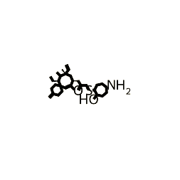 C=C[C@]1(C)C[C@@H](CC(=O)CSC2CCC(N)CCC2O)/C(C)=C\C2(CCC(=C)CC2)[C@@H](CC)C1C